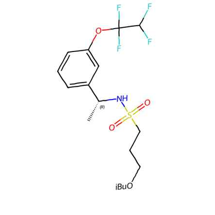 CC(C)COCCCS(=O)(=O)N[C@H](C)c1cccc(OC(F)(F)C(F)F)c1